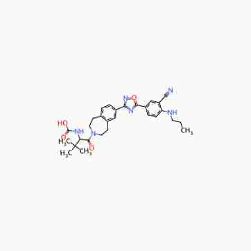 CCCNc1ccc(-c2nc(-c3ccc4c(c3)CCN(C(=O)C(NC(=O)O)C(C)(C)C)CC4)no2)cc1C#N